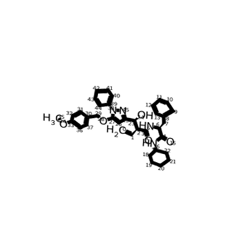 C=C[C@H](C(=O)N[C@@H](Cc1ccccc1)C(=O)NC1CCCCC1)[C@H](O)c1cc(OCc2ccc(OC)cc2)n(-c2ccccc2)n1